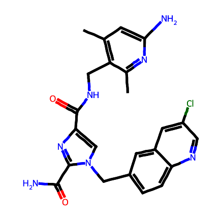 Cc1cc(N)nc(C)c1CNC(=O)c1cn(Cc2ccc3ncc(Cl)cc3c2)c(C(N)=O)n1